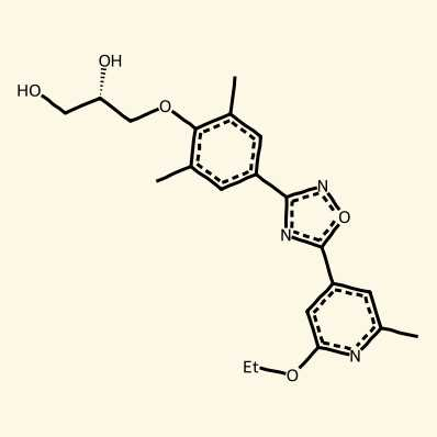 CCOc1cc(-c2nc(-c3cc(C)c(OC[C@@H](O)CO)c(C)c3)no2)cc(C)n1